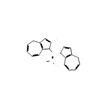 C[Si](C)=[Zr+2]([CH]1C=CC2=C1C=CC=CC2)[CH]1C=CC2=C1C=CC=CC2.[Cl-].[Cl-]